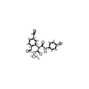 COC(=O)C(C(=O)Nc1ccc(Br)cc1)c1cc(C#N)ccc1C=O